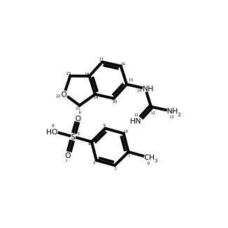 Cc1ccc(S(=O)(=O)O)cc1.N=C(N)Nc1ccc2c(c1)COC2